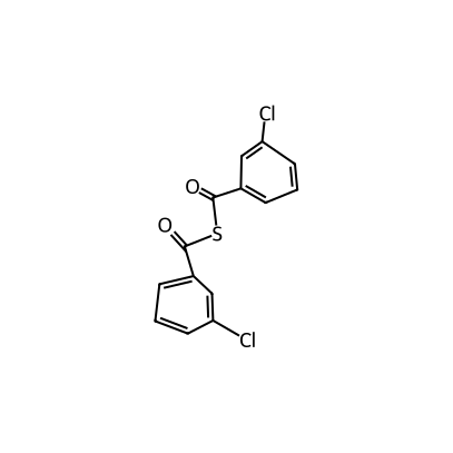 O=C(SC(=O)c1cccc(Cl)c1)c1cccc(Cl)c1